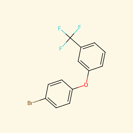 FC(F)(F)c1cccc(Oc2ccc(Br)cc2)c1